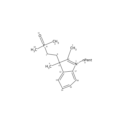 CCCCC[N+]1=C(C)C(C)(CCP(C)(C)=O)c2ccccc21